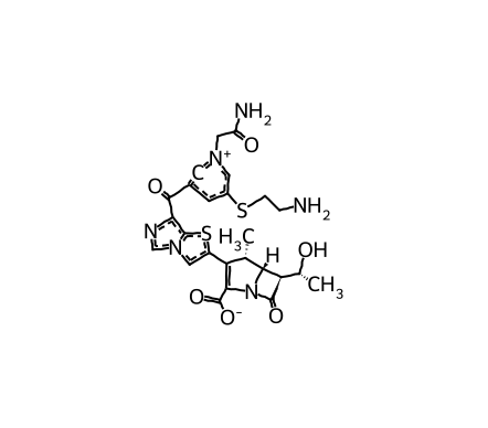 C[C@@H](O)[C@H]1C(=O)N2C(C(=O)[O-])=C(c3cn4cnc(C(=O)c5cc(SCCN)c[n+](CC(N)=O)c5)c4s3)[C@H](C)[C@H]12